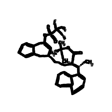 C[C@H](c1cccc2ccccc12)N(CCC[C@@H]1C=C(OS(=O)(=O)C(F)(F)F)c2ccccc2C1)C(=O)OC(C)(C)C